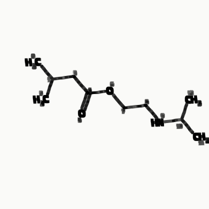 CC(C)CC(=O)OCCNC(C)C